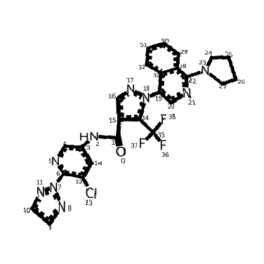 O=C(Nc1cnc(-n2nccn2)c(Cl)c1)c1cnn(-c2cnc(N3CCCC3)c3ccccc23)c1C(F)(F)F